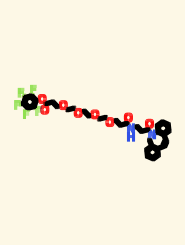 O=C(CCOCCOCCOCCOCCC(=O)Oc1c(F)c(F)c(F)c(F)c1F)NCCC(=O)N1Cc2ccccc2C#Cc2ccccc21